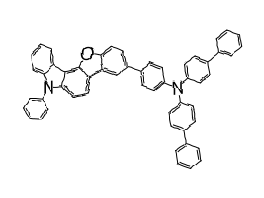 c1ccc(-c2ccc(N(c3ccc(-c4ccccc4)cc3)c3ccc(-c4ccc5oc6c(ccc7c6c6ccccc6n7-c6ccccc6)c5c4)cc3)cc2)cc1